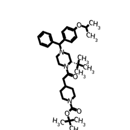 CC(C)Oc1ccc(C(c2ccccc2)N2CCN(C(=O)CC3CCN(C(=O)OC(C)(C)C)CC3)[C@@H](C(C)(C)C)C2)cc1